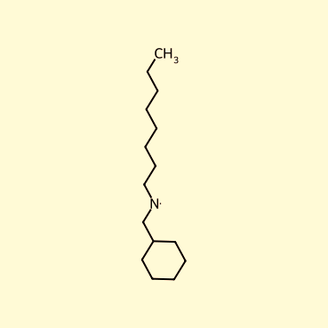 CCCCCCCC[N]CC1CCCCC1